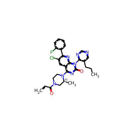 C=CC(=O)N1CCN(c2nc(=O)n(-c3ncncc3CCC)c3nc(-c4ccccc4F)c(Cl)cc23)[C@@H](C)C1